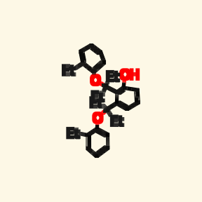 CCc1ccccc1OC(CC)(CC)c1cccc(O)c1C(CC)(CC)Oc1ccccc1CC